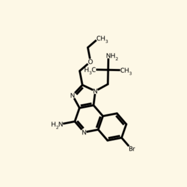 CCOCc1nc2c(N)nc3cc(Br)ccc3c2n1CC(C)(C)N